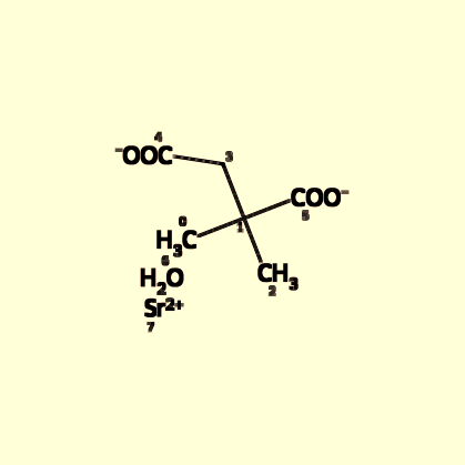 CC(C)(CC(=O)[O-])C(=O)[O-].O.[Sr+2]